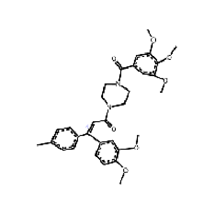 COc1ccc(/C(=C\C(=O)N2CCN(C(=O)c3cc(OC)c(OC)c(OC)c3)CC2)c2ccc(C)cc2)cc1OC